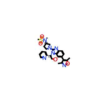 Cc1noc(C)c1-c1ccc2nc(N3CC[C@@H](N(C)S(C)(=O)=O)C3)n3c2c1OC[C@@H]3c1ccccn1